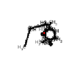 CCCCCCCCCCCCCCCCOP(=O)(O)OCCOCCOCCOCCC(=O)N[C@@H](CO)C(=O)N[C@@H](CCCC)C(=O)N[C@H]1CCC(=O)NCCCC[C@@H](C(N)=O)NC(=O)[C@H](Cc2c[nH]c3ccccc23)NC(=O)[C@H](CCCNC(=N)N)NC(=O)[C@@H](Cc2ccccc2)NC(=O)[C@@H]2C[C@@H](O)CN2C1=O